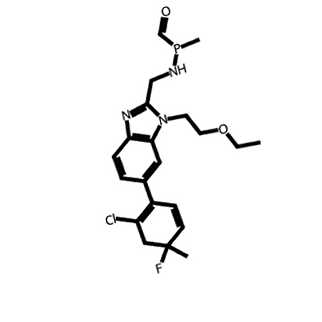 CCOCCn1c(CNP(C)C=O)nc2ccc(C3=C(Cl)CC(C)(F)C=C3)cc21